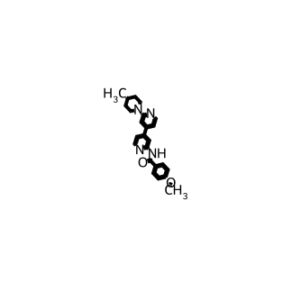 COc1ccc(C(=O)Nc2cc(-c3ccnc(N4CCC(C)CC4)c3)ccn2)cc1